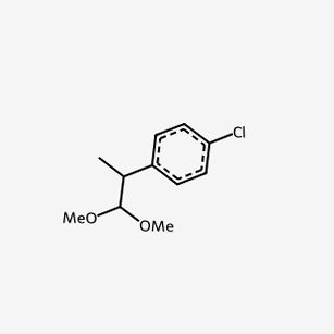 COC(OC)C(C)c1ccc(Cl)cc1